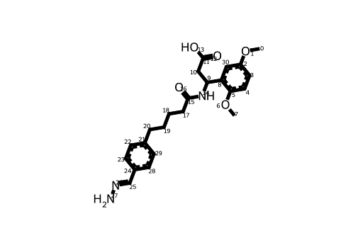 COc1ccc(OC)c(C(CC(=O)O)NC(=O)CCCCc2ccc(C=NN)cc2)c1